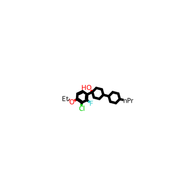 CCCC1CCC(C2CCC(O)(c3ccc(OCC)c(Cl)c3F)CC2)CC1